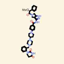 CO[C@@H](C(=O)N1Cc2[nH]nc(NC(=O)c3ccc(N4CCC(N5CCN(Cc6ccccc6N6CCC(=O)NC6=O)CC5)CC4)cc3)c2C1)c1ccccc1